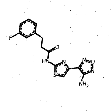 Nc1nonc1-c1csc(NC(=O)CCc2cccc(F)c2)n1